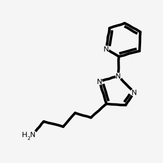 NCCCCc1cnn(-c2ccccn2)n1